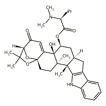 CC(C)[C@@H](C(=O)O[C@H]1C[C@H]2Cc3c([nH]c4ccccc34)[C@]2(C)[C@@]2(C)CC[C@@]34O[C@@H](C(=O)C=C3[C@]12O)C(C)(C)O4)N(C)C